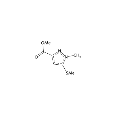 COC(=O)c1cc(SC)n(C)n1